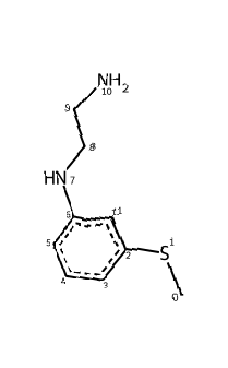 CSc1cc[c]c(NCCN)c1